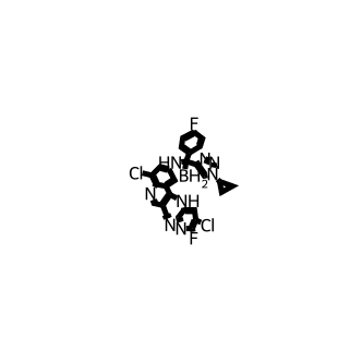 BC(Nc1cc(Cl)c2ncc(C#N)c(Nc3cnc(F)c(Cl)c3)c2c1)(c1ccc(F)cc1)c1cn(C2CC2)nn1